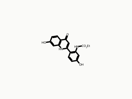 CCOC(=O)Nc1cc(O)ccc1-c1cc(=O)c2ccc(O)cc2[nH]1